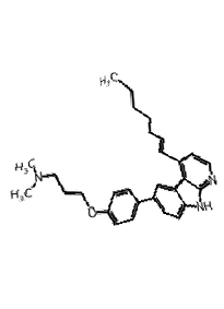 CCCCCC=Cc1ccnc2[nH]c3ccc(-c4ccc(OCCCN(C)C)cc4)cc3c12